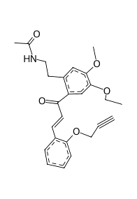 C#CCOc1ccccc1/C=C/C(=O)c1cc(OCC)c(OC)cc1CCNC(C)=O